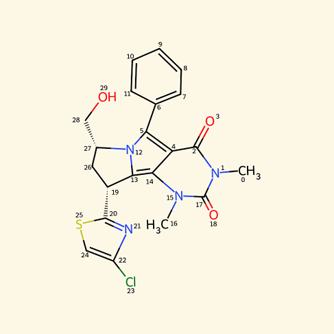 Cn1c(=O)c2c(-c3ccccc3)n3c(c2n(C)c1=O)[C@H](c1nc(Cl)cs1)C[C@@H]3CO